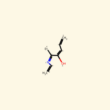 C=C/C=C(O)\C(CC)=N/C=C